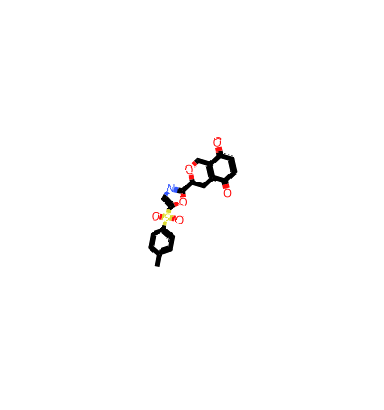 Cc1ccc(S(=O)(=O)c2cnc(C3CC4=C(CO3)C(=O)C=CC4=O)o2)cc1